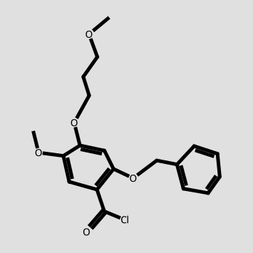 COCCCOc1cc(OCc2ccccc2)c(C(=O)Cl)cc1OC